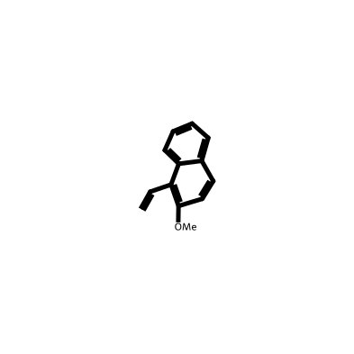 C=Cc1c(OC)ccc2ccccc12